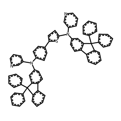 c1ccc(C2(c3ccccc3)c3ccccc3-c3ccc(N(c4ccc(-c5ccc(N(c6cccnc6)c6ccc7c(c6)C(c6ccccc6)(c6ccccc6)c6ccccc6-7)s5)cc4)c4cccnc4)cc32)cc1